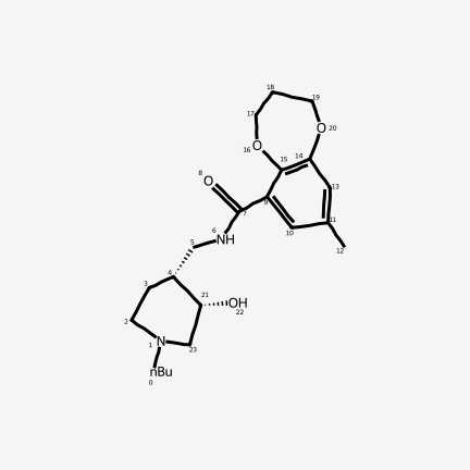 CCCCN1CC[C@H](CNC(=O)c2cc(C)cc3c2OCCCO3)[C@H](O)C1